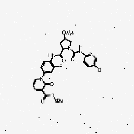 COC1CC(C(=O)Nc2ccc(-n3cccc(C(=O)OC(C)(C)C)c3=O)cc2F)N(C(=O)Nc2ccc(Cl)cn2)C1